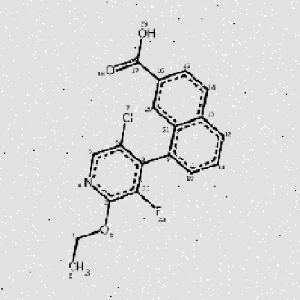 CCOc1ncc(Cl)c(-c2cccc3ccc(C(=O)O)cc23)c1F